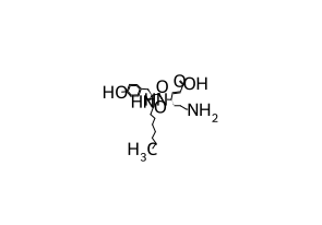 CCCCCCCC(=O)N[C@@H](Cc1ccc(O)cc1)C(=O)N[C@H](/C=C/C(=O)O)CCCN